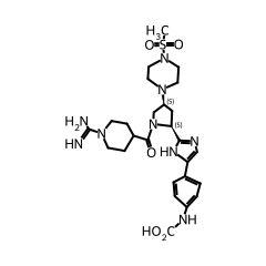 CS(=O)(=O)N1CCN([C@H]2C[C@@H](c3ncc(-c4ccc(NC(=O)O)cc4)[nH]3)N(C(=O)C3CCN(C(=N)N)CC3)C2)CC1